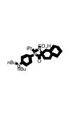 CCCCN(CCCC)c1ccc(NC(=O)C2(N(CC(C)C)C(=O)O)CCc3ccccc3C2)cc1